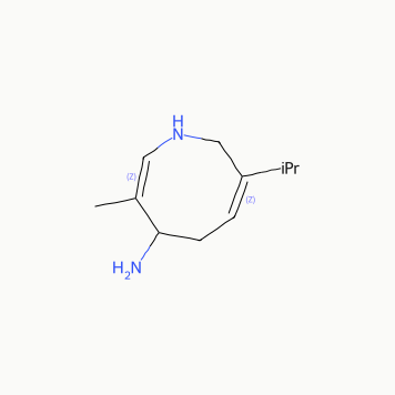 C/C1=C/NC/C(C(C)C)=C\CC1N